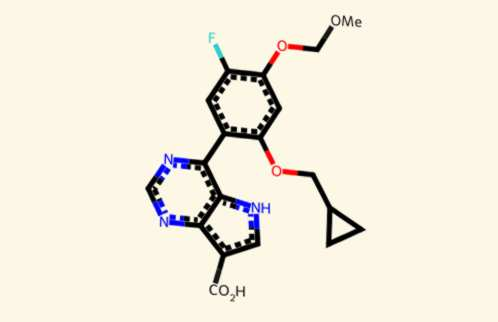 COCOc1cc(OCC2CC2)c(-c2ncnc3c(C(=O)O)c[nH]c23)cc1F